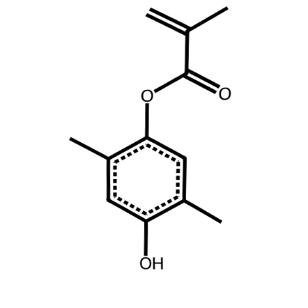 C=C(C)C(=O)Oc1cc(C)c(O)cc1C